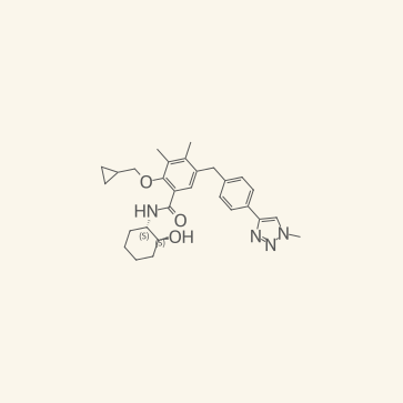 Cc1c(Cc2ccc(-c3cn(C)nn3)cc2)cc(C(=O)N[C@H]2CCCC[C@@H]2O)c(OCC2CC2)c1C